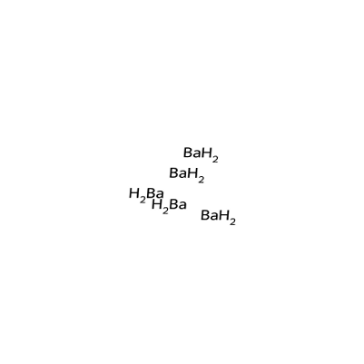 [BaH2].[BaH2].[BaH2].[BaH2].[BaH2]